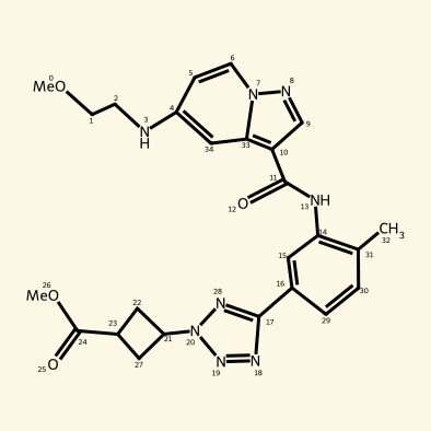 COCCNc1ccn2ncc(C(=O)Nc3cc(-c4nnn(C5CC(C(=O)OC)C5)n4)ccc3C)c2c1